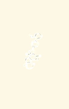 COc1ccccc1N1CCN(CCN2C(=O)Nc3c(ccc4c3OCCCO4)S2(=O)=O)CC1